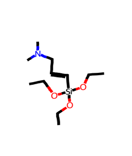 CCO[Si](C=CCN(C)C)(OCC)OCC